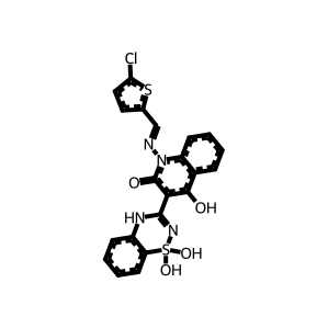 O=c1c(C2=NS(O)(O)c3ccccc3N2)c(O)c2ccccc2n1N=Cc1ccc(Cl)s1